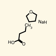 C1CCOC1.CCCC(=O)O.[NaH]